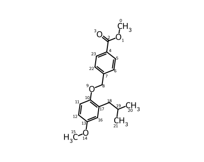 COC(=O)c1ccc(COc2ccc(OC)cc2CC(C)C)cc1